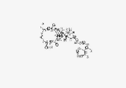 CC[C@H]1CCC[C@H](O)[C@@H](C)C(=O)C2=C[C@@H]3[C@@H](C=C[C@@H]4C[C@@H](OCC(OC)C(OC)C(OC)C(C)O)C[C@@H]34)[C@@H]2CC(=O)O1